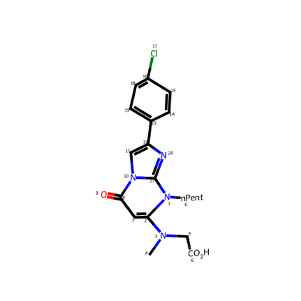 CCCCCn1c(N(C)CC(=O)O)cc(=O)n2cc(-c3ccc(Cl)cc3)nc12